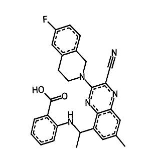 Cc1cc(C(C)Nc2ccccc2C(=O)O)c2nc(N3CCc4cc(F)ccc4C3)c(C#N)nc2c1